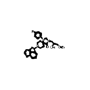 CCOCC(O)CN1CN(c2ccc(F)cc2)C2(CCN(C3Cc4cccc5cccc3c45)CC2)C1=O